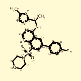 Cc1nnc([C@@H](C)Nc2ncnc3c(S(=O)(=O)N4CCOCC4)cc(-c4ccc(F)cc4)cc23)s1